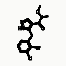 CON(C)C(=O)c1cn[nH]c1Cc1cccc(Cl)c1Br